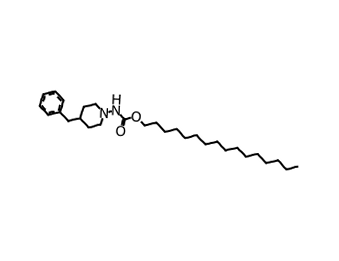 CCCCCCCCCCCCCCCCOC(=O)NN1CCC(Cc2ccccc2)CC1